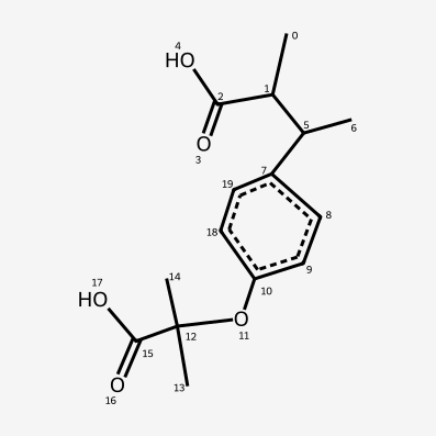 CC(C(=O)O)C(C)c1ccc(OC(C)(C)C(=O)O)cc1